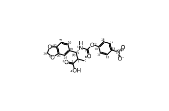 CC(C(=O)O)[C@@H](NC(=O)Oc1ccc([N+](=O)[O-])cc1)c1ccc2c(c1)OCO2